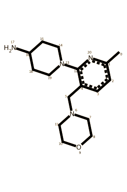 Cc1ccc(CN2CCOCC2)c(N2CCC(N)CC2)n1